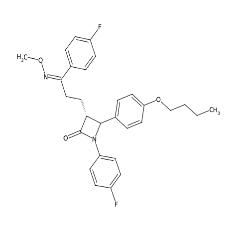 CCCCOc1ccc(C2[C@@H](CC/C(=N/OC)c3ccc(F)cc3)C(=O)N2c2ccc(F)cc2)cc1